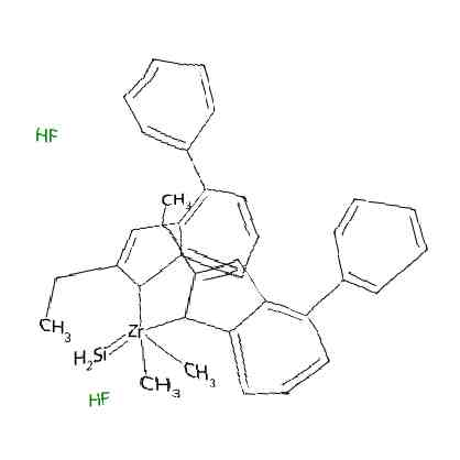 CCC1=Cc2c(-c3ccccc3)cccc2[CH]1[Zr]([CH3])([CH3])(=[SiH2])[CH]1C(CC)=Cc2c(-c3ccccc3)cccc21.F.F